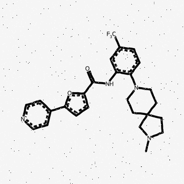 CN1CCC2(CCN(c3ccc(C(F)(F)F)cc3NC(=O)c3ccc(-c4ccncc4)o3)CC2)C1